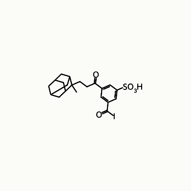 CC1(CCC(=O)c2cc(C(=O)I)cc(S(=O)(=O)O)c2)C2CC3CC(C2)CC1C3